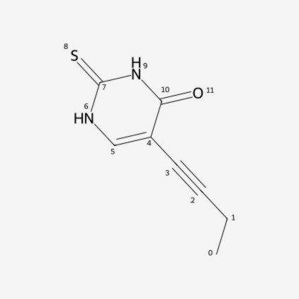 CCC#Cc1c[nH]c(=S)[nH]c1=O